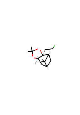 CC1(C)O[C@H]2C[C@H]3C[C@H](C3(C)C)[C@@]2(CCBr)O1